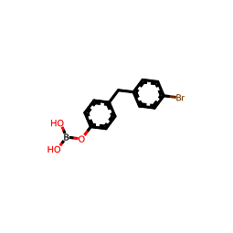 OB(O)Oc1ccc(Cc2ccc(Br)cc2)cc1